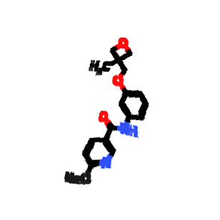 COc1ccc(C(=O)Nc2cccc(OCC3(C)COC3)c2)cn1